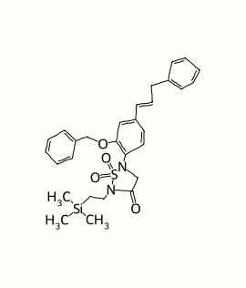 C[Si](C)(C)CCN1C(=O)CN(c2ccc(C=CCc3ccccc3)cc2OCc2ccccc2)S1(=O)=O